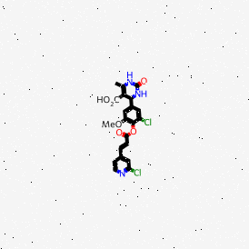 COc1cc(C2NC(=O)NC(C)=C2C(=O)O)cc(Cl)c1OC(=O)C=Cc1ccnc(Cl)c1